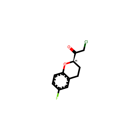 O=C(CCl)[C@H]1CCc2cc(F)ccc2O1